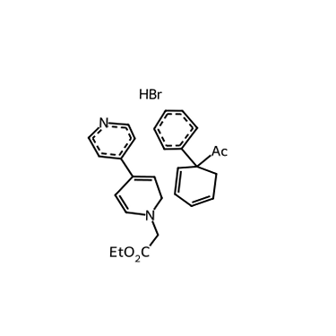 Br.CC(=O)C1(c2ccccc2)C=CC=CC1.CCOC(=O)CN1C=CC(c2ccncc2)=CC1